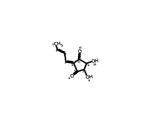 CC=CC=C1C(=O)C(O)C(O)C1=O